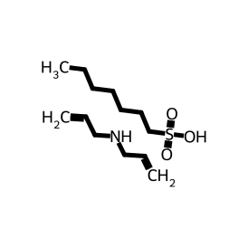 C=CCNCC=C.CCCCCCCS(=O)(=O)O